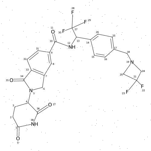 O=C1CCC(N2Cc3cc(C(=O)NC(c4ccc(CN5CC(F)(F)C5)cc4)C(F)(F)F)ccc3C2=O)C(=O)N1